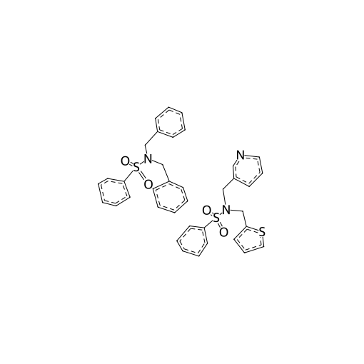 O=S(=O)(c1ccccc1)N(Cc1ccccc1)Cc1ccccc1.O=S(=O)(c1ccccc1)N(Cc1cccnc1)Cc1cccs1